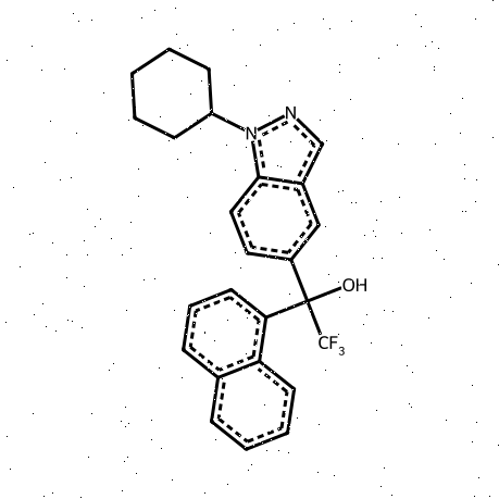 OC(c1ccc2c(cnn2C2CCCCC2)c1)(c1cccc2ccccc12)C(F)(F)F